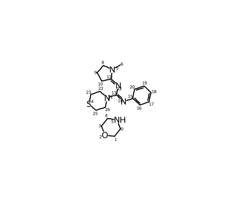 C1COCCN1.CN1CCCC1=NC(=Nc1ccccc1)N1CCSCC1